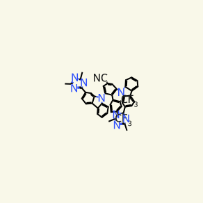 Cc1nc(C)nc(-c2ccc3c4ccccc4n(-c4cc(C#N)cc(-n5c6ccccc6c6ccc(-c7nc(C)nc(C)n7)cc65)c4-c4ccc(C(F)(F)F)cc4C(F)(F)F)c3c2)n1